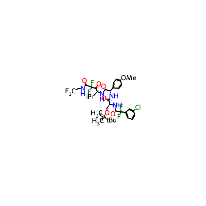 COc1ccc([C@H](NC(=O)[C@H](CO[Si](C)(C)C(C)(C)C)NC(=O)C(F)(F)c2cccc(Cl)c2)C(=O)N[C@H](C(=O)C(F)(F)C(=O)NCC(F)(F)F)C(C)C)cc1